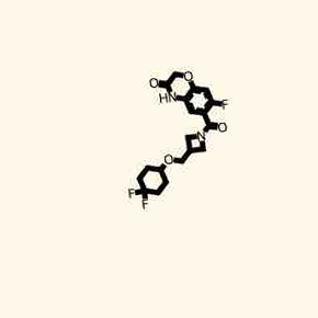 O=C1COc2cc(F)c(C(=O)N3CC(COC4CCC(F)(F)CC4)C3)cc2N1